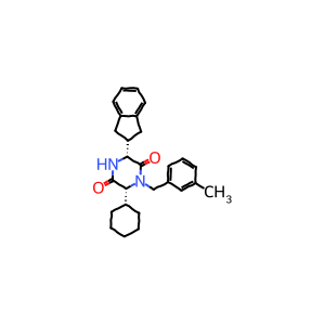 Cc1cccc(CN2C(=O)[C@@H](C3Cc4ccccc4C3)NC(=O)[C@H]2C2CCCCC2)c1